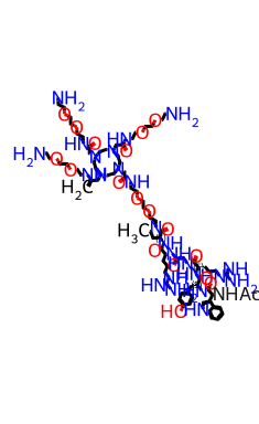 C=C(CN1CCN(CC(=O)NCCOCCOCCN)CCN(CC(=O)NCCOCCOCCN)CCN(CC(=O)NCCOCCOCCN2C(=O)[C@@H](NC(=O)C(CCCNC(=N)N)NC(=O)CNC(=O)[C@H](CCCNC(=N)N)NC(=O)[C@H](Cc3ccc(O)cc3)NC(=O)C(NC(C)=O)c3c[nH]c4ccccc34)CC2C)CC1)NCCOCCOCCN